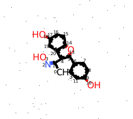 C/C(=N/O)c1c(-c2ccc(O)cc2)oc2ccc(O)cc12